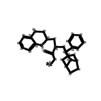 CCC(=O)N(CC1CC2CCC(C1)N2Cc1ccccc1)CC1COc2ccccc2O1